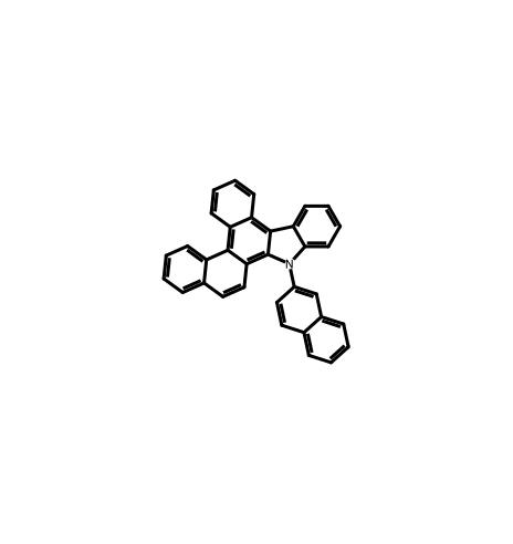 c1ccc2cc(-n3c4ccccc4c4c5ccccc5c5c6ccccc6ccc5c43)ccc2c1